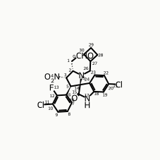 O=CC[C@H]1[C@@H]([N+](=O)[O-])[C@H](c2cccc(Cl)c2F)[C@]2(C(=O)Nc3cc(Cl)ccc32)N1CC1CCC1